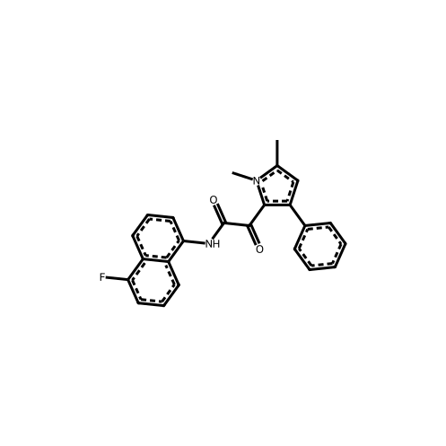 Cc1cc(-c2ccccc2)c(C(=O)C(=O)Nc2cccc3c(F)cccc23)n1C